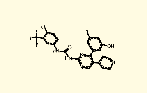 Cc1cc(O)cc(-c2nc(NC(=O)Nc3ccc(Cl)c(C(F)(F)F)c3)ncc2-c2ccncc2)c1